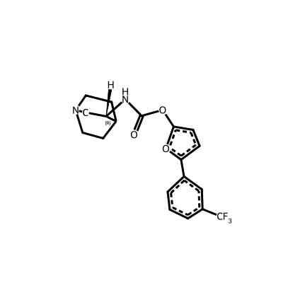 O=C(N[C@H]1CN2CCC1CC2)Oc1ccc(-c2cccc(C(F)(F)F)c2)o1